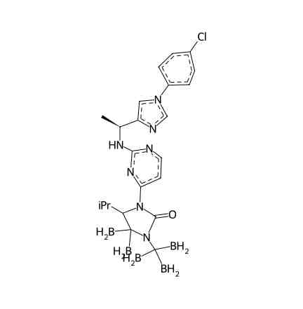 BC(B)(B)N1C(=O)N(c2ccnc(N[C@@H](C)c3cn(-c4ccc(Cl)cc4)cn3)n2)C(C(C)C)C1(B)B